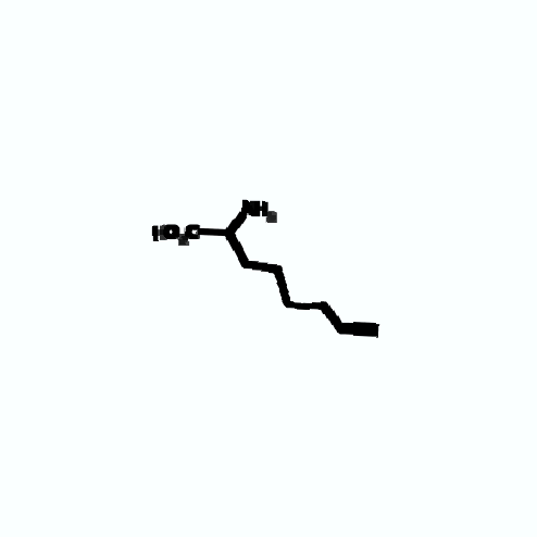 C=CCCCCC(N)C(=O)O